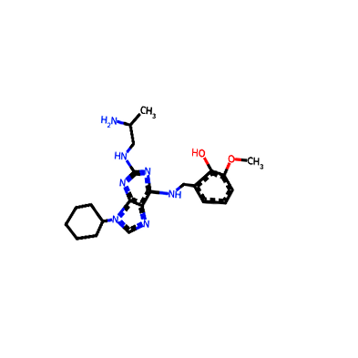 COc1cccc(CNc2nc(NCC(C)N)nc3c2ncn3C2CCCCC2)c1O